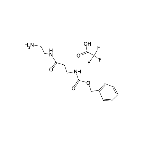 NCCNC(=O)CCNC(=O)OCc1ccccc1.O=C(O)C(F)(F)F